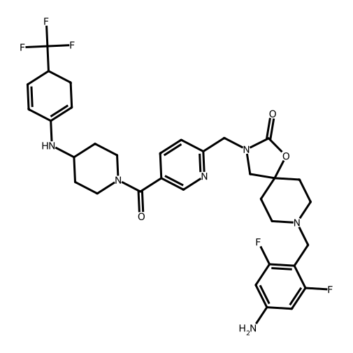 Nc1cc(F)c(CN2CCC3(CC2)CN(Cc2ccc(C(=O)N4CCC(NC5=CCC(C(F)(F)F)C=C5)CC4)cn2)C(=O)O3)c(F)c1